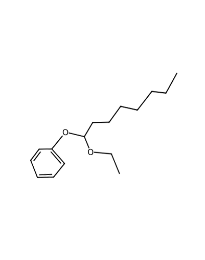 CCCCCCCC(OCC)Oc1ccccc1